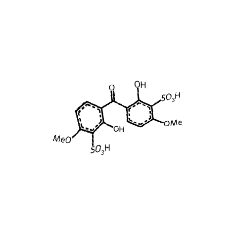 COc1ccc(C(=O)c2ccc(OC)c(S(=O)(=O)O)c2O)c(O)c1S(=O)(=O)O